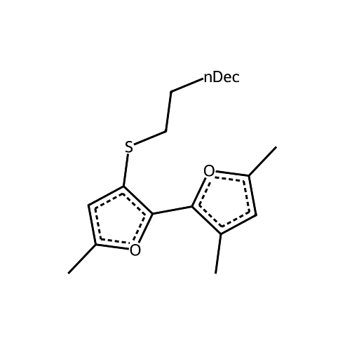 CCCCCCCCCCCCSc1cc(C)oc1-c1oc(C)cc1C